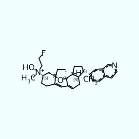 C[C@]12CC=C3C=C4CC[C@H]([N+](C)(O)CCF)C[C@]45CC[C@]3(O5)[C@@H]1CC[C@@H]2c1ccc2ccncc2c1